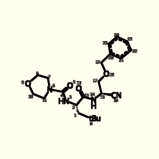 CC(C)(C)C[C@H](NC(=O)N1CCOCC1)C(=O)N[C@H](C#N)COCc1ccccc1